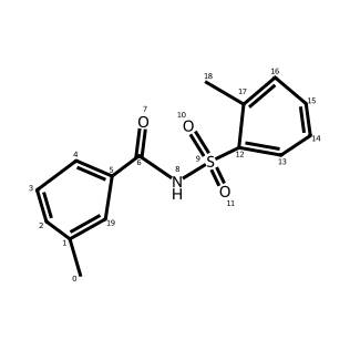 Cc1cccc(C(=O)NS(=O)(=O)c2ccccc2C)c1